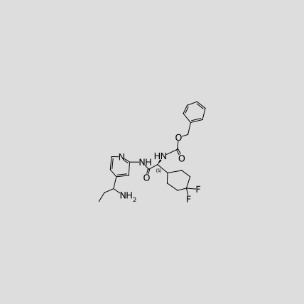 CCC(N)c1ccnc(NC(=O)[C@@H](NC(=O)OCc2ccccc2)C2CCC(F)(F)CC2)c1